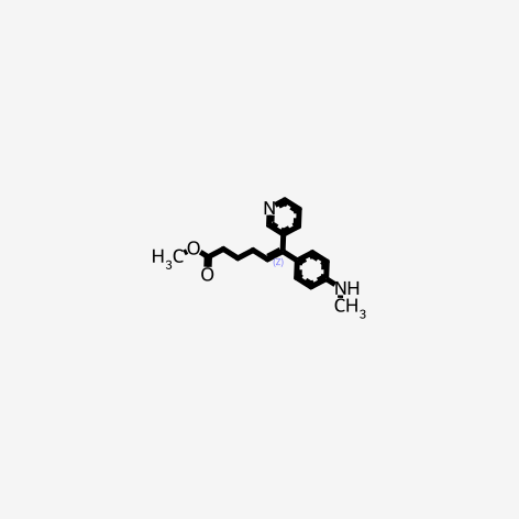 CNc1ccc(/C(=C/CCCC(=O)OC)c2cccnc2)cc1